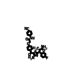 C[C@H](C(N)=O)N(c1ccc(F)cc1)c1nc(N)c(C(=O)c2ccc(OCC(=O)Nc3ccc(C#N)cc3)cc2)s1